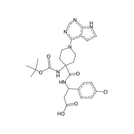 CC(C)(C)OC(=O)NC1(C(=O)NC(CC(=O)O)c2ccc(Cl)cc2)CCN(c2ncnc3[nH]ccc23)CC1